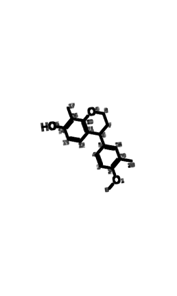 COc1ccc(C2CCOc3c2ccc(O)c3C)cc1C